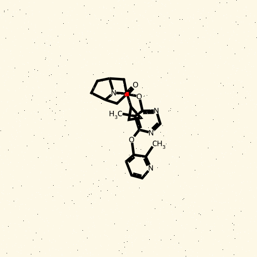 Cc1ncccc1Oc1ncnc(OC2CC3CCC(C2)N3C(=O)C2CC2)c1C